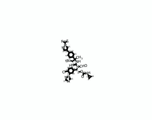 CC(C)(C)CC(C)(NC(=N)N(C=O)[C@H](COC(=O)NC1CC1)c1ccc(Cl)c(-n2cncn2)c1)c1ccc(-c2cnn(C(F)F)c2)cc1